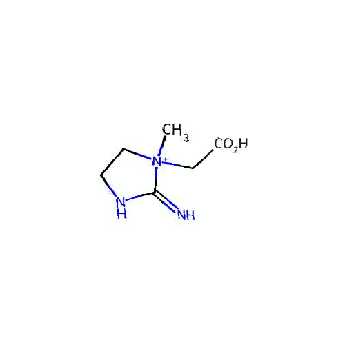 C[N+]1(CC(=O)O)CCNC1=N